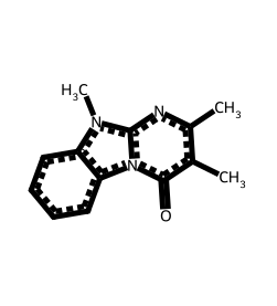 Cc1nc2n(C)c3ccccc3n2c(=O)c1C